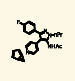 CCCn1nc(-c2ccc(F)cc2)c(-c2ccncc2)c1NC(C)=O.c1cc2cc-2c1